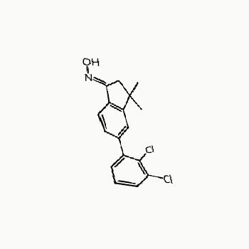 CC1(C)CC(=NO)c2ccc(-c3cccc(Cl)c3Cl)cc21